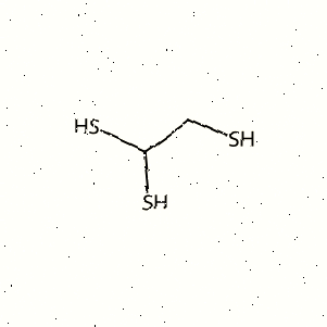 SCC(S)S